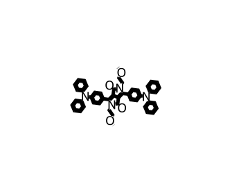 COCCN1C(=O)C2=C(c3ccc(N(c4ccccc4)c4ccccc4)cc3)N(CCOC)C(=O)C2=C1c1ccc(N(c2ccccc2)c2ccccc2)cc1